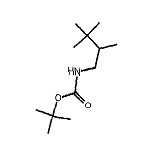 CC(CNC(=O)OC(C)(C)C)C(C)(C)C